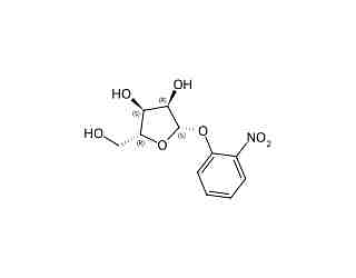 O=[N+]([O-])c1ccccc1O[C@@H]1O[C@H](CO)[C@@H](O)[C@H]1O